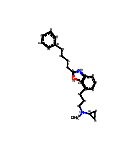 O=CN(CCCc1cccc2nc(CCCCc3ccccc3)oc12)C1CC1